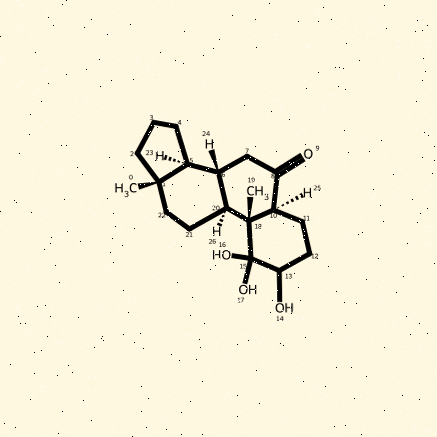 C[C@@]12CCC[C@H]1[C@@H]1CC(=O)[C@H]3CCC(O)C(O)(O)[C@]3(C)[C@H]1CC2